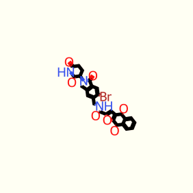 O=C1CCC(N2Cc3cc(CNC(=O)c4cc5c(o4)C(=O)c4ccccc4C5=O)c(Br)cc3C2=O)C(=O)N1